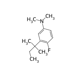 CCC(C)(C)c1cc(N(C)C)ccc1F